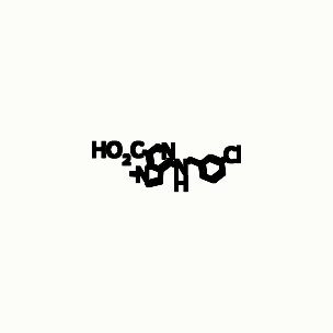 Cn1ccc2c(NCc3cccc(Cl)c3)ncc(C(=O)O)c21